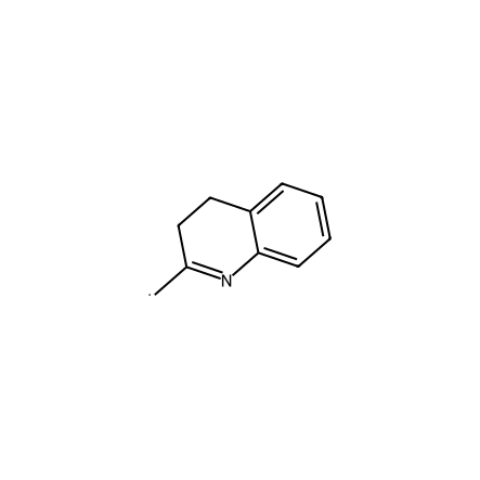 [CH2]C1=Nc2ccccc2CC1